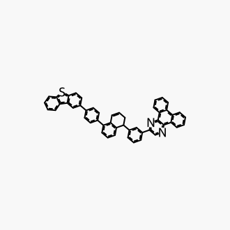 C1=Cc2c(-c3ccc(-c4ccc5sc6ccccc6c5c4)cc3)cccc2C(c2cccc(-c3cnc4c5ccccc5c5ccccc5c4n3)c2)C1